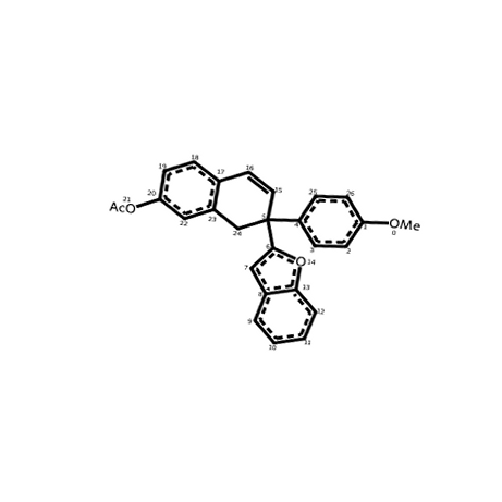 COc1ccc(C2(c3cc4ccccc4o3)C=Cc3ccc(OC(C)=O)cc3C2)cc1